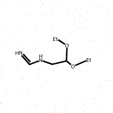 CCOC(CNC=N)OCC